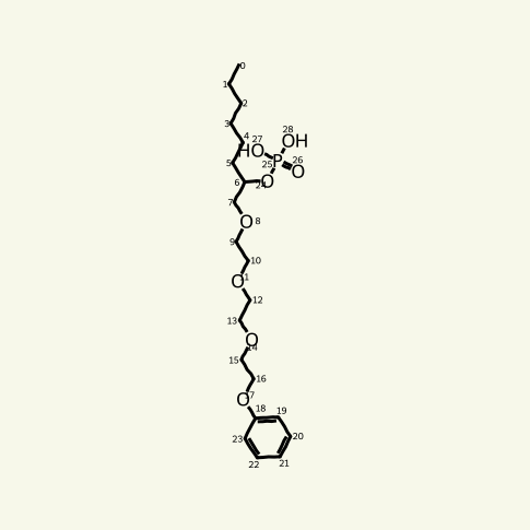 CCCCCCC(COCCOCCOCCOc1ccccc1)OP(=O)(O)O